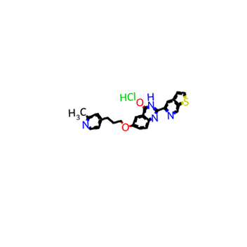 Cc1cc(CCCOc2ccc3nc(-c4cc5ccsc5cn4)[nH]c(=O)c3c2)ccn1.Cl